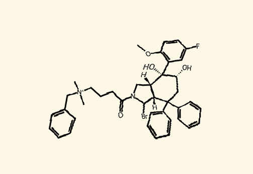 COc1ccc(F)cc1[C@@]1(O)[C@H](O)CC(c2ccccc2)(c2ccccc2)[C@@H]2C(Br)N(C(=O)CCC[N+](C)(C)Cc3ccccc3)C[C@@H]21